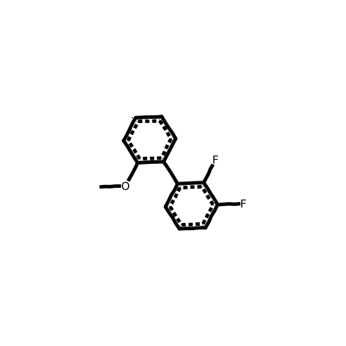 COc1c[c]ccc1-c1cccc(F)c1F